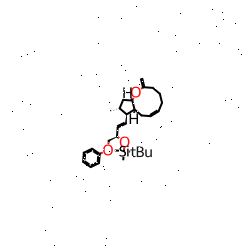 C=C1CCC/C=C\C[C@@H]2[C@@H](/C=C/[C@H](COc3ccccc3)O[Si](C)(C)C(C)(C)C)[C@H](C)C[C@@H]2O1